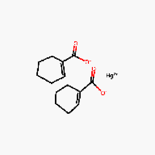 O=C([O-])C1=CCCCC1.O=C([O-])C1=CCCCC1.[Hg+2]